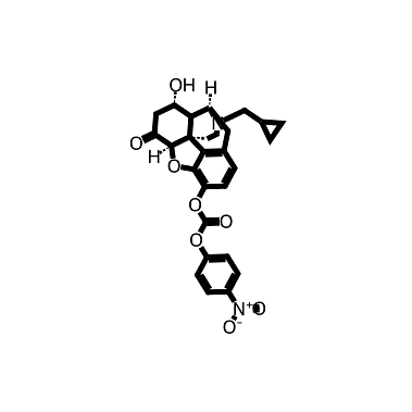 O=C(Oc1ccc([N+](=O)[O-])cc1)Oc1ccc2c3c1O[C@H]1C(=O)C[C@H](O)C4[C@@H](C2)N(CC2CC2)CC[C@@]341